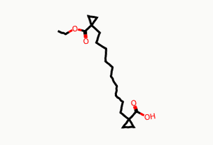 CCOC(=O)C1(CCCCCCCCCCC2(C(=O)O)CC2)CC1